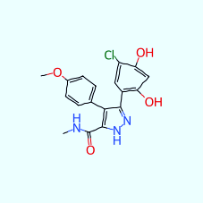 CNC(=O)c1[nH]nc(-c2cc(Cl)c(O)cc2O)c1-c1ccc(OC)cc1